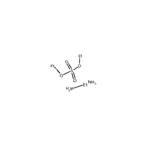 CCN.CCOS(=O)(=O)OCC.N